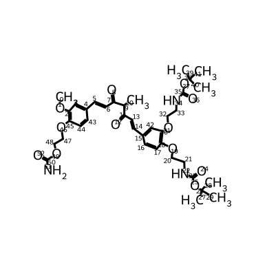 COc1cc(/C=C/C(=O)C(C)C(=O)/C=C/c2ccc(OCCNC(=O)OC(C)(C)C)c(OCCNC(=O)OC(C)(C)C)c2)ccc1OCCOC(N)=O